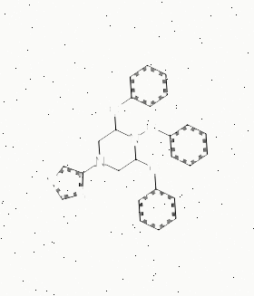 [c]1ncsc1N1CC(Oc2ccccc2)N(Oc2ccccc2)C(Oc2ccccc2)C1